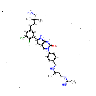 CC(=N)NCCC(C)NCc1ccc(-n2cc3cc(-c4cc(CCC(C)(C)CN)cc(Cl)c4F)[nH]c3nc2=O)cc1